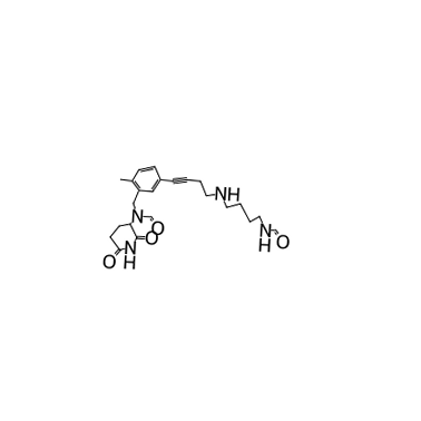 Cc1ccc(C#CCCNCCCCNC=O)cc1CN(C=O)C1CCC(=O)NC1=O